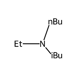 CCCCN(CC)C(C)CC